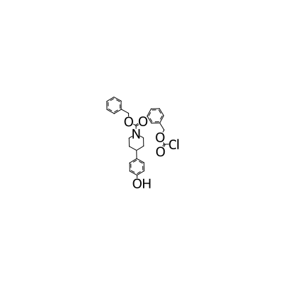 O=C(Cl)OCc1ccccc1.O=C(OCc1ccccc1)N1CCC(c2ccc(O)cc2)CC1